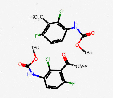 CC(C)(C)OC(=O)Nc1ccc(F)c(C(=O)O)c1Cl.COC(=O)c1c(F)ccc(NC(=O)OC(C)(C)C)c1Cl